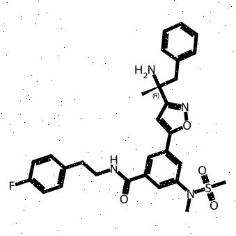 CN(c1cc(C(=O)NCCc2ccc(F)cc2)cc(-c2cc([C@](C)(N)Cc3ccccc3)no2)c1)S(C)(=O)=O